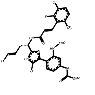 CC/C=C/C[C@H](NC(=O)/C=C/c1c(C(F)(F)F)ccc(Cl)c1F)c1nc(-c2ccc(NC(=O)OC)cc2NC=O)c(Cl)[nH]1